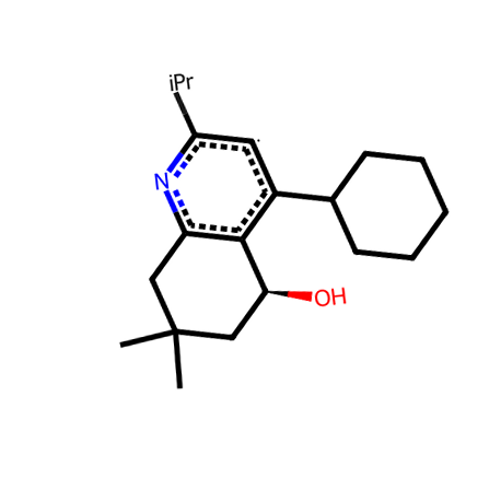 CC(C)c1[c]c(C2CCCCC2)c2c(n1)CC(C)(C)C[C@@H]2O